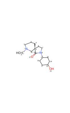 O=C(O)N1CCC[C@]2(CCN(C3CCC(O)CC3)C2=O)C1